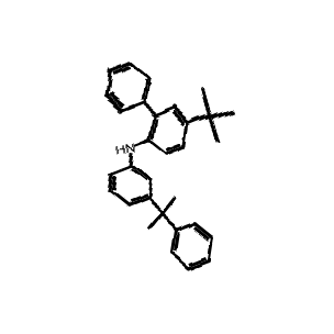 CC(C)(C)c1ccc(Nc2cccc(C(C)(C)c3ccccc3)c2)c(-c2ccccc2)c1